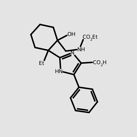 CCOC(=O)NCC1(O)CCCCC1(CC)c1nc(C(=O)O)c(-c2ccccc2)[nH]1